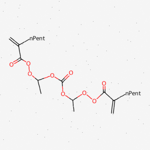 C=C(CCCCC)C(=O)OOC(C)OC(=O)OC(C)OOC(=O)C(=C)CCCCC